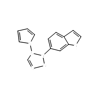 [C]1=NNN(c2ccc3cc[nH]c3c2)N1n1cccc1